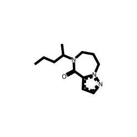 CCCC(C)N1CCCn2nccc2C1=O